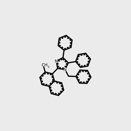 Cc1ccc2ccccc2c1-c1nc(-c2ccccc2)c(-c2ccccc2)n1Cc1ccccc1